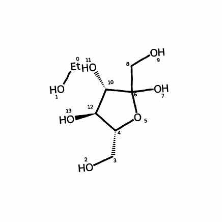 CCO.OC[C@H]1OC(O)(CO)[C@@H](O)[C@@H]1O